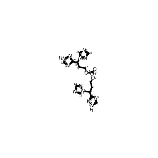 O=[PH](OCCC(c1nc[nH]n1)n1cncn1)OCCC(c1nc[nH]n1)n1cncn1